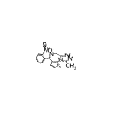 Cc1nnc2n1-c1sccc1C(c1ccccc1[N+](=O)[O-])=NC2